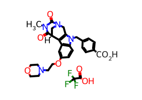 CN1C(=O)[C@H]2CN(Cc3c2c2cc(OCCN4CCOCC4)ccc2n3Cc2ccc(C(=O)O)cc2)C1=O.O=C(O)C(F)(F)F